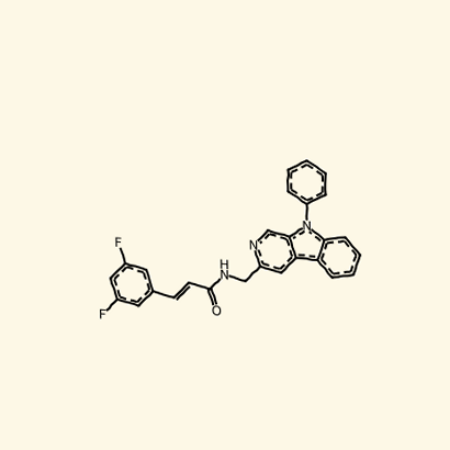 O=C(/C=C/c1cc(F)cc(F)c1)NCc1cc2c3ccccc3n(-c3ccccc3)c2cn1